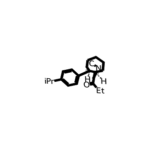 CCC(=O)[C@@H]1C2CCC(C[C@@H]1c1ccc(C(C)C)cc1)CN2C